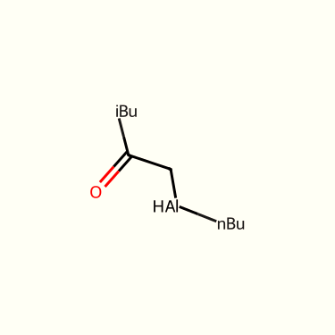 CCC[CH2][AlH][CH2]C(=O)C(C)CC